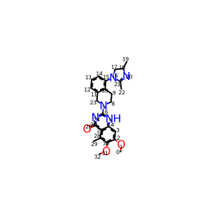 COc1cc2[nH]c(N3CCc4c(cccc4N4CC(C)N=C4C)C3)nc(=O)c2c(C)c1OC